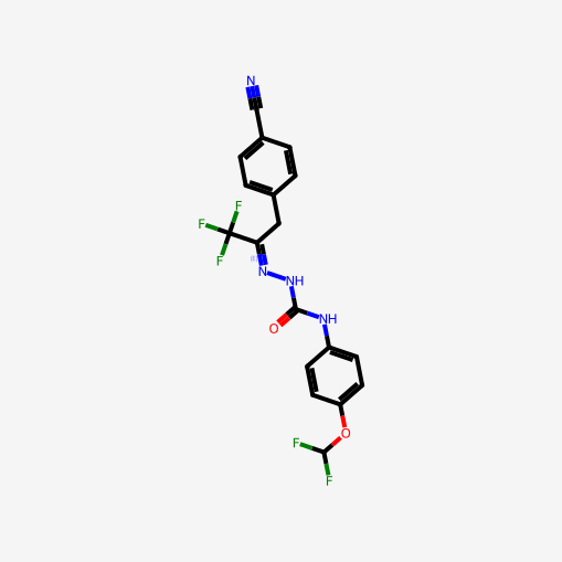 N#Cc1ccc(C/C(=N\NC(=O)Nc2ccc(OC(F)F)cc2)C(F)(F)F)cc1